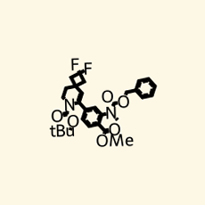 COC(=O)c1ccc(C2=CC3(CCN2C(=O)OC(C)(C)C)CC(F)(F)C3)cc1N(C)C(=O)OCc1ccccc1